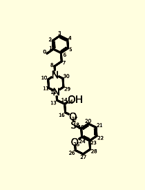 Cc1ccccc1CCN1CCN(CC(O)COSc2cccc3c2OCCC3)CC1